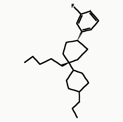 CCCCC[C@]1(C2CCC(CCC)CC2)CC[C@@H](c2cc[c]c(F)c2)CC1